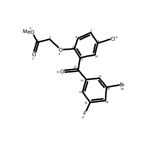 COC(=O)COc1ccc(Cl)cc1C(=O)c1cc(F)cc(Br)c1